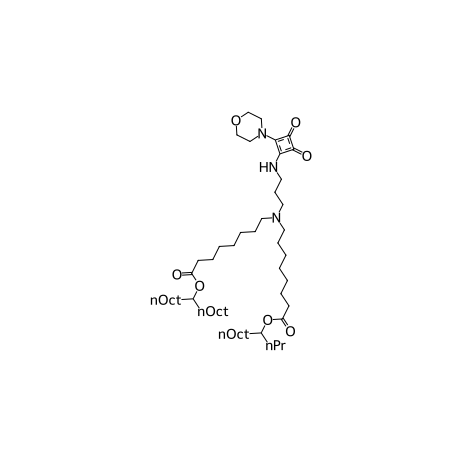 CCCCCCCCC(CCC)OC(=O)CCCCCCCN(CCCCCCCC(=O)OC(CCCCCCCC)CCCCCCCC)CCCNc1c(N2CCOCC2)c(=O)c1=O